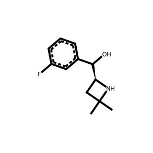 CC1(C)C[C@@H](C(O)c2cccc(F)c2)N1